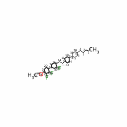 C/C=C/CCC1CCC(c2ccc(CCc3ccc(-c4ccc(OCC)c(F)c4F)cc3F)cc2)CC1